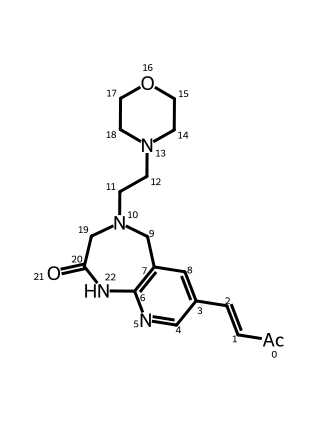 CC(=O)/C=C/c1cnc2c(c1)CN(CCN1CCOCC1)CC(=O)N2